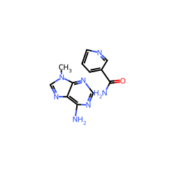 Cn1cnc2c(N)ncnc21.NC(=O)c1cccnc1